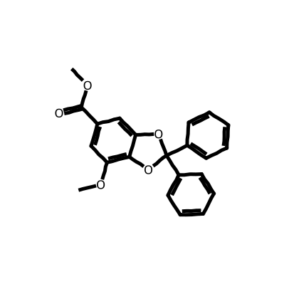 COC(=O)c1cc(OC)c2c(c1)OC(c1ccccc1)(c1ccccc1)O2